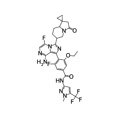 CCOc1cc(C(=O)Nc2cc(C(F)(F)F)n(C)n2)cc(F)c1-c1nc(C2CCC3N(C2)C(=O)CC32CC2)n2c(F)cnc(N)c12